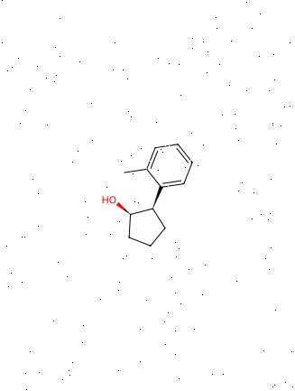 Cc1ccccc1[C@H]1CCC[C@H]1O